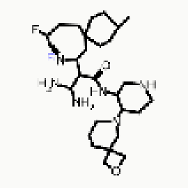 CC1CCC2(CCC(F)/C=N\C(C(C(=O)NC3CNCCC3N3CCCC4(COC4)C3)C(N)N)C2)CC1